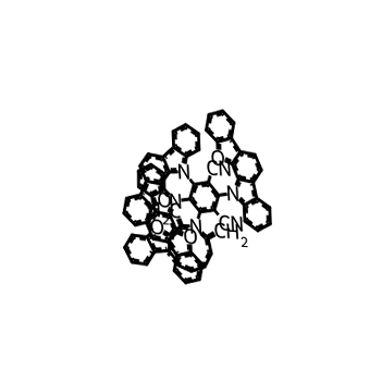 C=c1ccccc2c(oc3ccccc32)c(=C)n1-c1c(C#N)c(-n2c3ccccc3c3ccc4c5ccccc5oc4c32)c(C#N)c(-n2c3ccccc3c3ccc4c5ccccc5oc4c32)c1-n1c2ccccc2c2ccc3c4ccccc4oc3c21